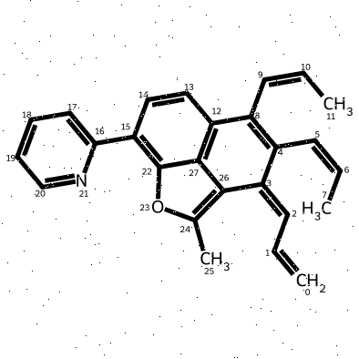 C=C/C=c1/c(/C=C\C)c(/C=C\C)c2ccc(-c3ccccn3)c3oc(C)c1c23